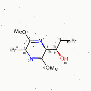 COC1=N[C@H](C(C)C)C(OC)=N[C@H]1[C@H](O)CC(C)C